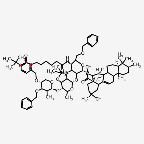 COC1C[C@]2(C)C(=CCC3C4(C)CC[C@H](C)C(C)(C)[C@@H]4CC[C@@]32C)C2CC(C)(C)CC[C@]12C(=O)O[C@@H]1OC(COCc2ccccc2)[C@H](NC(=O)CCCCCNC(=O)OC(C)(C)C)C(C)C1O[C@@H]1OC(C)[C@H](O[C@@H]2OC[C@@H](OCc3ccccc3)C(OCc3ccccc3)C2C)C2OC(C)(C)OC21